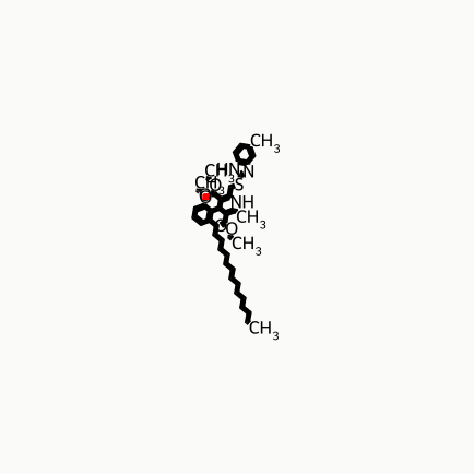 CCCCCCCCCCCCCCCc1cccc(OCC)c1C1C(C(=O)OCC)=C(C)NC(CSc2nc3cc(C)ccc3[nH]2)=C1C(=O)OCC